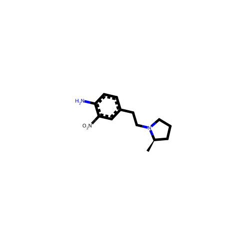 C[C@@H]1CCCN1CCc1ccc(N)c([N+](=O)[O-])c1